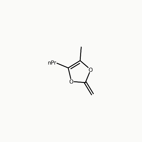 C=C1OC(C)=C(CCC)O1